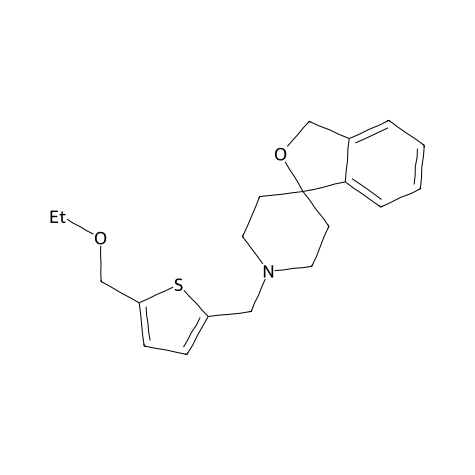 CCOCc1ccc(CN2CCC3(CC2)OCc2ccccc23)s1